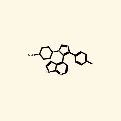 CC(=O)N[C@H]1CC[C@@H](n2cnc(-c3ccc(F)cc3)c2-c2ccnc3[nH]ccc23)CC1